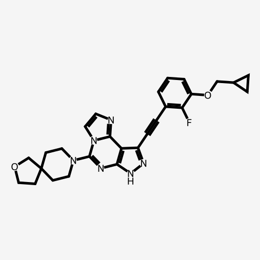 Fc1c(C#Cc2n[nH]c3nc(N4CCC5(CCOC5)CC4)n4ccnc4c23)cccc1OCC1CC1